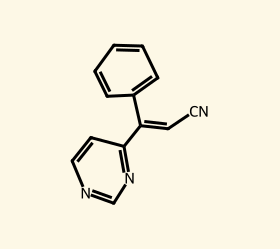 N#C/C=C(\c1ccccc1)c1ccncn1